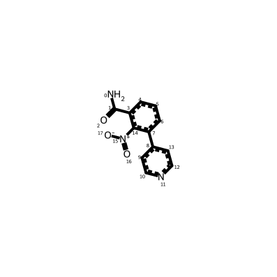 NC(=O)c1cccc(-c2ccncc2)c1[N+](=O)[O-]